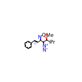 CON=C(/C=C/c1ccccc1)C(=[N+]=[N-])C(=O)C(C)C